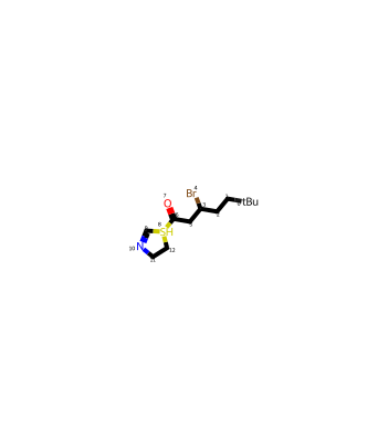 CC(C)(C)CCC(Br)CC(=O)[SH]1C=NCC1